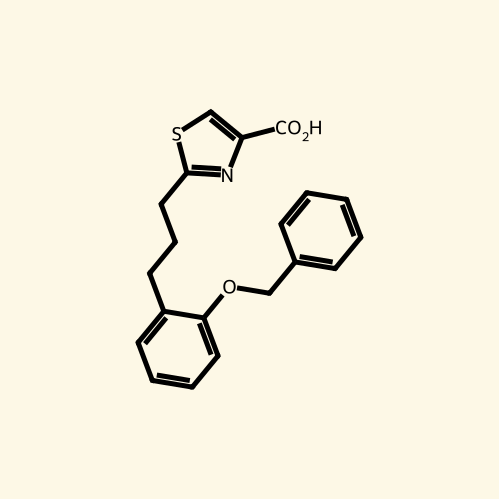 O=C(O)c1csc(CCCc2ccccc2OCc2ccccc2)n1